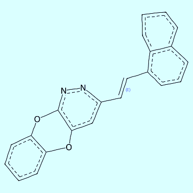 C(=C\c1cccc2ccccc12)/c1cc2c(nn1)Oc1ccccc1O2